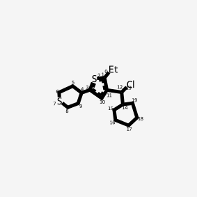 CCc1sc(C2CCSCC2)cc1C(Cl)C1CCCCC1